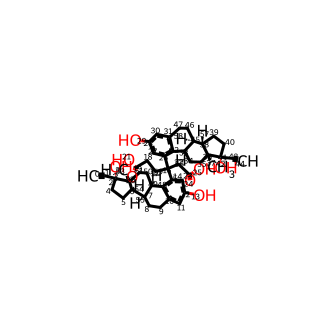 C#C[C@]1(O)CC[C@H]2[C@@H]3CCc4cc(O)cc(C(CCC(=O)O)(CC(=O)O)c5cc(O)cc6c5[C@H]5CCC7(C)[C@@H](CC[C@@]7(O)C#C)[C@@H]5CC6)c4[C@H]3CCC21C